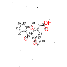 COc1c(CC(=O)O)cc2ccoc2c1C(=O)c1ccccc1